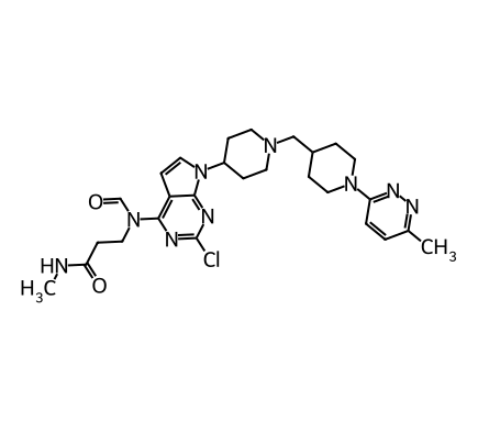 CNC(=O)CCN(C=O)c1nc(Cl)nc2c1ccn2C1CCN(CC2CCN(c3ccc(C)nn3)CC2)CC1